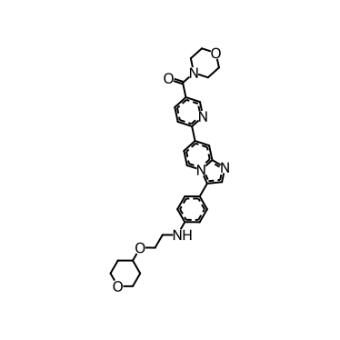 O=C(c1ccc(-c2ccn3c(-c4ccc(NCCOC5CCOCC5)cc4)cnc3c2)nc1)N1CCOCC1